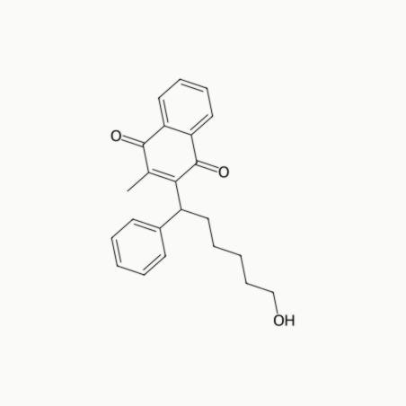 CC1=C(C(CCCCCO)c2ccccc2)C(=O)c2ccccc2C1=O